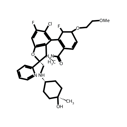 COCCOC1C=CC(C(N)=O)=C(c2c(Cl)c(F)cc3c2[C@H](C)[C@@](CN[C@H]2CC[C@](C)(O)CC2)(c2ccccn2)O3)C1F